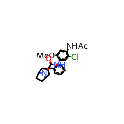 COc1cc(NC(C)=O)c(Cl)cc1NC(=O)C1CC2CCC(C1)N2Cc1ccccc1